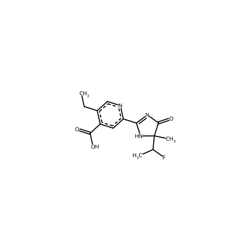 CCc1cnc(C2=NC(=O)C(C)(C(C)F)N2)cc1C(=O)O